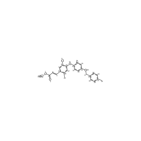 CCCCOC(=O)/C=C/c1cc(Cl)c(Oc2ccc(OCc3ccc(C)cc3)cn2)cc1C